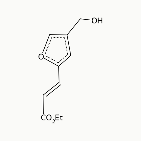 CCOC(=O)C=Cc1cc(CO)co1